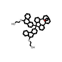 OCCOc1cc2ccc(C3(c4ccc5cc(OCCO)c6ccccc6c5c4)c4cccc(-c5ccccc5)c4-c4c(-c5ccccc5)cccc43)cc2c2ccccc12